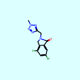 Cn1nnc(CN2Cc3c(F)cc(Br)cc3C2=O)n1